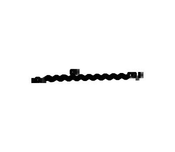 CCCCCCCCC=CCC=CCC(O)CCCCCCCCCCCCCC(=O)O